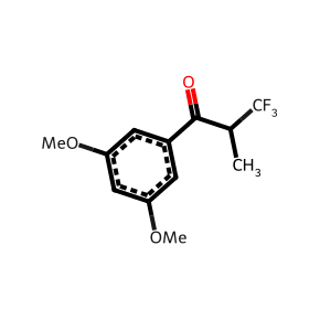 COc1cc(OC)cc(C(=O)C(C)C(F)(F)F)c1